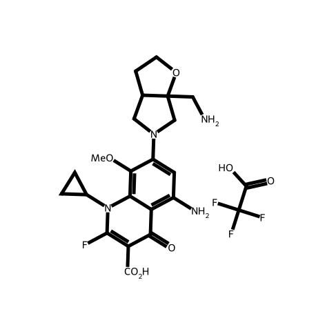 COc1c(N2CC3CCOC3(CN)C2)cc(N)c2c(=O)c(C(=O)O)c(F)n(C3CC3)c12.O=C(O)C(F)(F)F